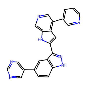 c1cncc(-c2cncc3[nH]c(-c4n[nH]c5ccc(-c6cncnc6)cc45)cc23)c1